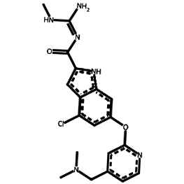 CNC(N)=NC(=O)c1cc2c(Cl)cc(Oc3cc(CN(C)C)ccn3)cc2[nH]1